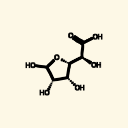 O=C(O)[C@@H](O)[C@H]1OC(O)[C@@H](O)[C@H]1O